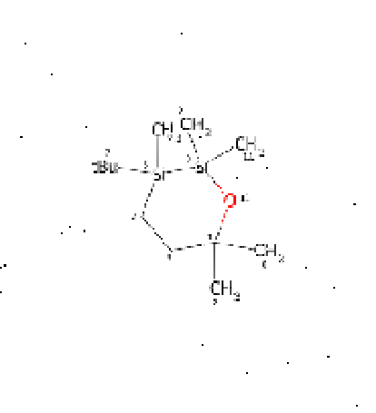 CC1(C)CC[Si](C)(C(C)(C)C)[Si](C)(C)O1